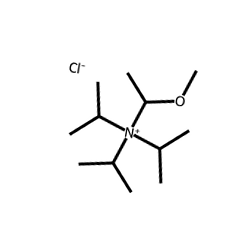 COC(C)[N+](C(C)C)(C(C)C)C(C)C.[Cl-]